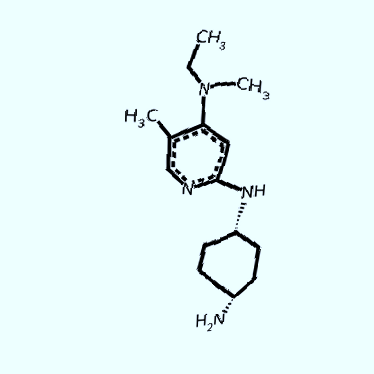 CCN(C)c1cc(N[C@H]2CC[C@@H](N)CC2)ncc1C